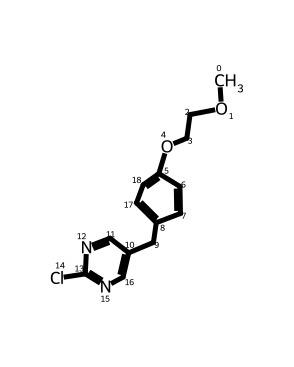 COCCOc1ccc(Cc2cnc(Cl)nc2)cc1